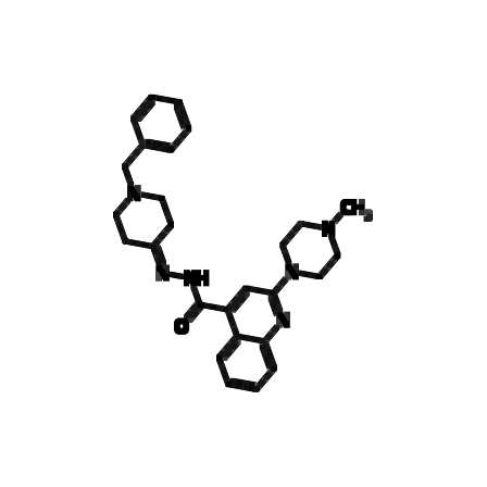 CN1CCN(c2cc(C(=O)NN=C3CCN(Cc4ccccc4)CC3)c3ccccc3n2)CC1